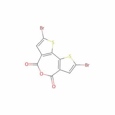 O=c1oc(=O)c2cc(Br)sc2c2sc(Br)cc12